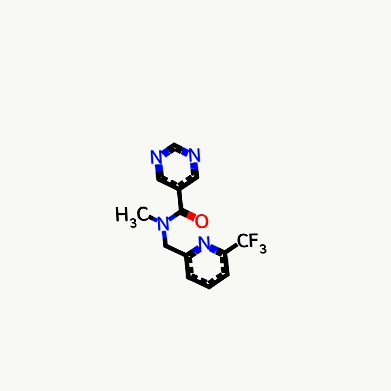 CN(Cc1cccc(C(F)(F)F)n1)C(=O)c1cncnc1